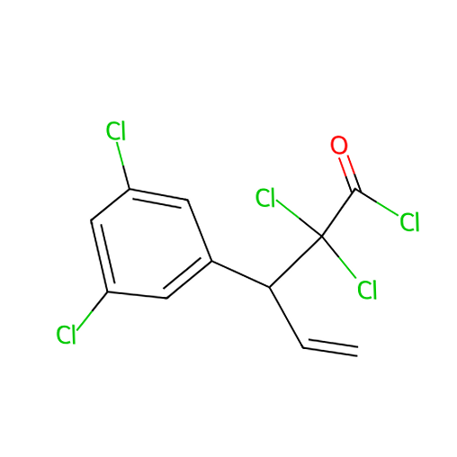 C=CC(c1cc(Cl)cc(Cl)c1)C(Cl)(Cl)C(=O)Cl